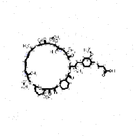 CO[C@H]1C[C@@H]2CC[C@@H](C)[C@@](O)(O2)C(=O)C(=O)N2CCCC(C2)C(=O)O[C@H]([C@H](C)C[C@@H]2CCC(OCCC(=O)O)[C@H](OC)C2)CC(=O)[C@H](C)/C=C(\C)[C@@H](O)[C@@H](OC)C(=O)[C@H](C)C[C@H](C)/C=C/C=C/C=C/1C